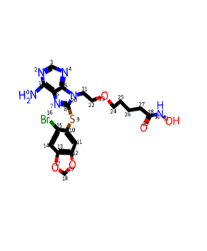 Nc1ncnc2c1nc(Sc1cc3c(cc1Br)OCO3)n2CCOCCCCC(=O)NO